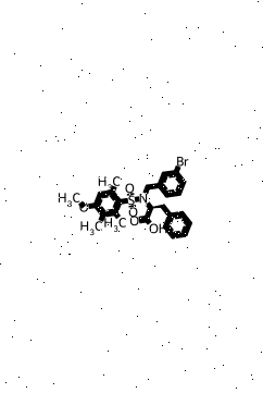 COc1cc(C)c(S(=O)(=O)N(Cc2cccc(Br)c2)[C@@H](Cc2ccccc2)C(=O)O)c(C)c1C